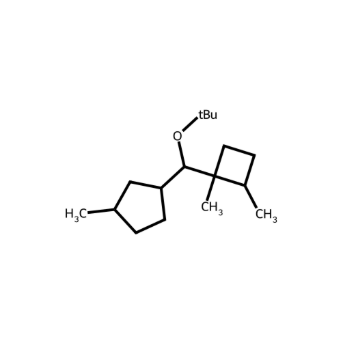 CC1CCC(C(OC(C)(C)C)C2(C)CCC2C)C1